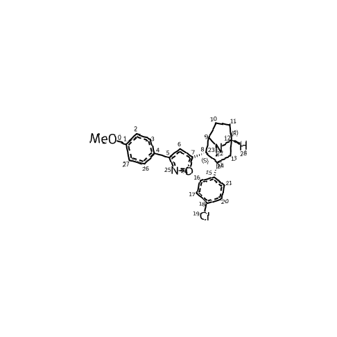 COc1ccc(-c2cc([C@@H]3C4CC[C@H](C[C@@H]3c3ccc(Cl)cc3)N4C)on2)cc1